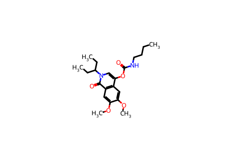 CCCCNC(=O)Oc1cn(C(CC)CC)c(=O)c2cc(OC)c(OC)cc12